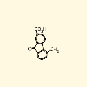 Cc1cccc2c1-c1ccc(C(=O)O)cc1C2=O